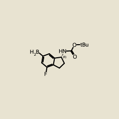 Bc1cc(F)c2c(c1)[C@H](NC(=O)OC(C)(C)C)CC2